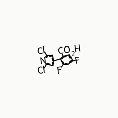 O=C(O)c1cc(F)cc(F)c1-c1cc(Cl)nc(Cl)c1